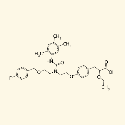 CCOC(Cc1ccc(OCCN(CCOCc2ccc(F)cc2)C(=O)Nc2cc(C)c(C)cc2C)cc1)C(=O)O